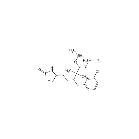 C[SiH2]OC(O[SiH2]C)C(C)(C)C(CCC1CCC(=O)N1)Cc1cccc(Cl)c1